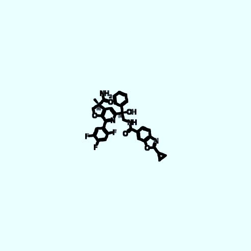 C[C@]1(C(N)=O)COc2c1cc([C@@](O)(CNC(=O)c1ccc3nc(C4CC4)oc3c1)c1ccccc1)nc2-c1cc(F)c(F)cc1F